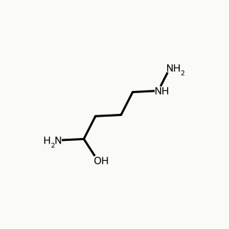 NNCCCC(N)O